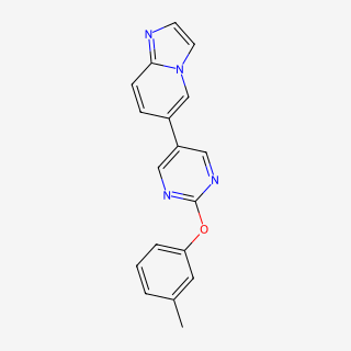 Cc1cccc(Oc2ncc(-c3ccc4nccn4c3)cn2)c1